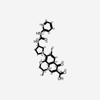 C[C@H]1COc2c(N3CCC(NC(=O)Nc4ccccn4)C3)c(F)cc3c(=O)c(C(=O)O)cn1c23